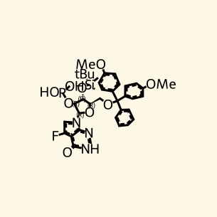 COc1ccc(C(OC[C@H]2O[C@@H](n3cc(F)c4c(=O)[nH]cnc43)[C@H](OP(O)O)[C@@H]2O[Si](C)(C)C(C)(C)C)(c2ccccc2)c2ccc(OC)cc2)cc1